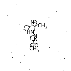 COC(=O)c1ccc(NCc2c(-c3ccccc3)noc2C)nn1